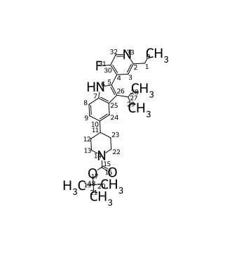 CCc1cc(-c2[nH]c3ccc(C4CCN(C(=O)OC(C)(C)C)CC4)cc3c2C(C)C)c(F)cn1